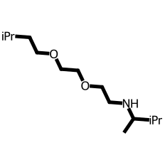 CC(C)CCOCCOCCNC(C)C(C)C